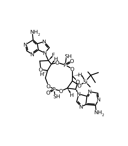 CC(C)(C)[Si](C)(C)OC1[C@@H]2O[C@@H](n3cnc4c(N)ncnc43)[C@@H]1OP(=O)(S)OC[C@H]1OC[C@](F)(n3cnc4c(N)ncnc43)[C@@H]1OP(=O)(S)O2